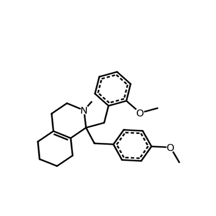 COc1ccc(CC2(Cc3ccccc3OC)C3=C(CCCC3)CCN2C)cc1